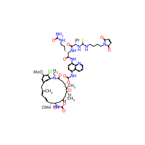 COc1cc2cc(c1Cl)N(C)C(=O)C[C@H](OC(=O)Nc1ccc(NC(=O)[C@H](CCCNC(N)=O)NC(=O)[C@@H](NC(=S)NCCCCN3C(=O)C=CC3=O)C(C)C)c3ncccc13)[C@]1(C)O[C@H]1[C@H](C)[C@@H]1C[C@@](O)(NC(=O)O1)[C@H](OC)/C=C/C=C(\C)C2